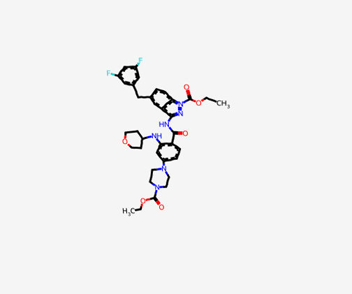 CCOC(=O)N1CCN(c2ccc(C(=O)Nc3nn(C(=O)OCC)c4ccc(Cc5cc(F)cc(F)c5)cc34)c(NC3CCOCC3)c2)CC1